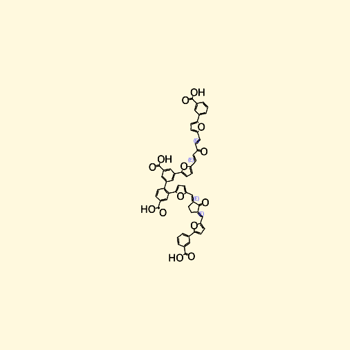 O=C(/C=C/c1ccc(-c2cccc(C(=O)O)c2)o1)/C=C/c1ccc(-c2cc(C(=O)O)cc(-c3ccc(C(=O)O)cc3-c3ccc(/C=C4\CC/C(=C\c5ccc(-c6cccc(C(=O)O)c6)o5)C4=O)o3)c2)o1